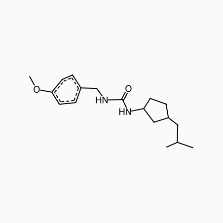 COc1ccc(CNC(=O)NC2CCC(CC(C)C)C2)cc1